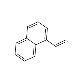 [CH]=Cc1cc[c]c2ccccc12